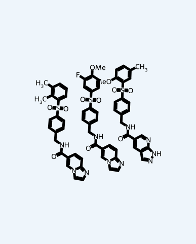 COc1ccc(C)cc1S(=O)(=O)c1ccc(CNC(=O)c2cnc3[nH]ncc3c2)cc1.COc1ccc(S(=O)(=O)c2ccc(CNC(=O)c3ccc4nccn4c3)cc2)cc1F.Cc1cccc(S(=O)(=O)c2ccc(CNC(=O)c3ccc4nccn4c3)cc2)c1C